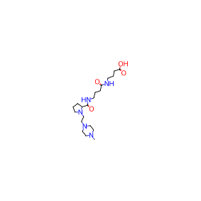 CN1CCN(CCN2CCCC2C(=O)NCCCC(=O)NCCCC(=O)O)CC1